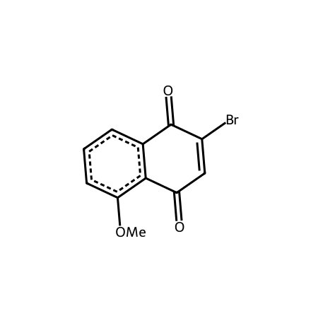 COc1cccc2c1C(=O)C=C(Br)C2=O